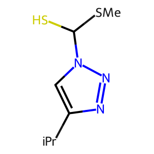 CSC(S)n1cc(C(C)C)nn1